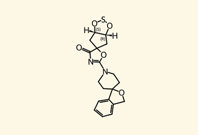 O=C1N=C(N2CCC3(CC2)OCc2ccccc23)OC12C[C@@H]1OSO[C@@H]1C2